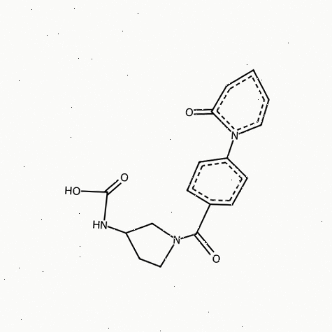 O=C(O)NC1CCN(C(=O)c2ccc(-n3ccccc3=O)cc2)C1